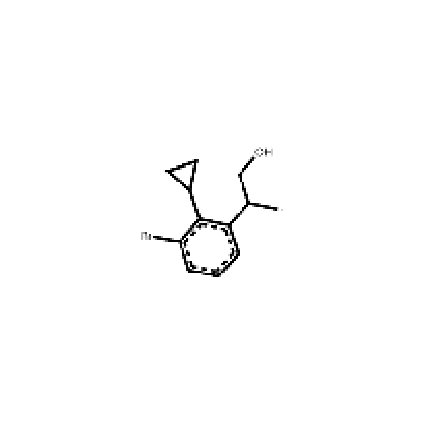 [CH2]C(CO)c1cccc(Br)c1C1CC1